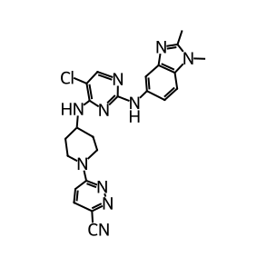 Cc1nc2cc(Nc3ncc(Cl)c(NC4CCN(c5ccc(C#N)nn5)CC4)n3)ccc2n1C